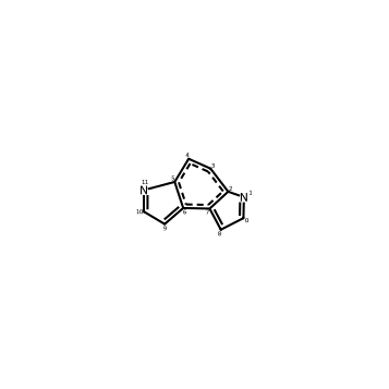 C1=Nc2ccc3c(c2=C1)=CC=N3